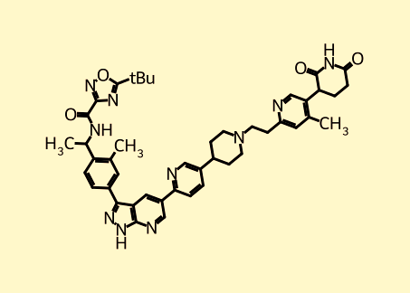 Cc1cc(-c2n[nH]c3ncc(-c4ccc(C5CCN(CCc6cc(C)c(C7CCC(=O)NC7=O)cn6)CC5)cn4)cc23)ccc1C(C)NC(=O)c1noc(C(C)(C)C)n1